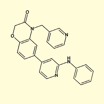 O=C1COc2ccc(-c3ccnc(Nc4ccccc4)c3)cc2N1Cc1cccnc1